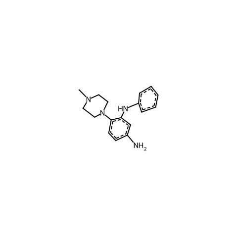 CN1CCN(c2ccc(N)cc2Nc2ccccc2)CC1